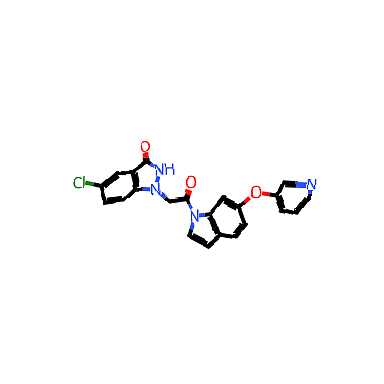 O=C(Cn1[nH]c(=O)c2cc(Cl)ccc21)n1ccc2ccc(Oc3cccnc3)cc21